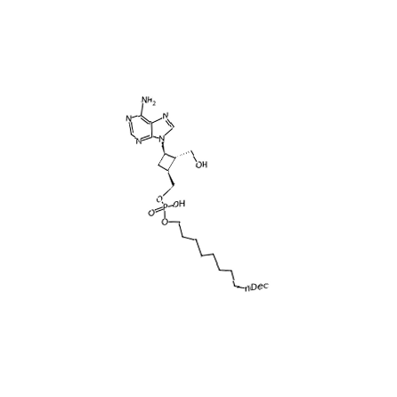 CCCCCCCCCCCCCCCCCCOP(=O)(O)OC[C@H]1C[C@@H](n2cnc3c(N)ncnc32)[C@@H]1CO